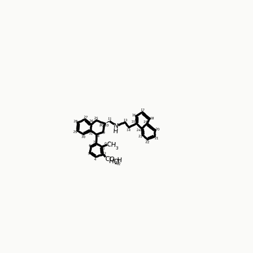 Cc1c(C(=O)O)cccc1C1C[C@@H](CNCCc2cccc3ccccc23)Cc2ccccc21.Cl